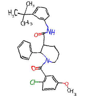 COc1ccc(Cl)c(C(=O)N2CCCC(C(=O)Nc3cccc(C(C)(C)C)c3)C2c2ccccc2)c1